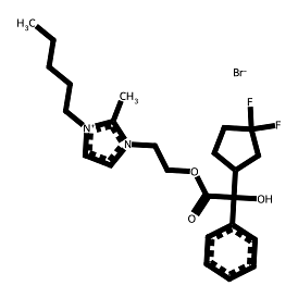 CCCCC[n+]1ccn(CCOC(=O)C(O)(c2ccccc2)C2CCC(F)(F)C2)c1C.[Br-]